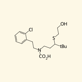 CC(C)(C)C(CCN(CCc1ccccc1Cl)C(=O)O)SCCO